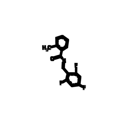 Cc1ccccc1C(=O)N=Cc1c(F)cc(F)cc1F